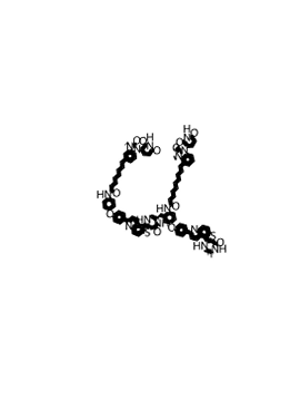 C[C@@H]1CNc2c(sc3ccc4nc(-c5ccc(OC6CCC(NC(=O)CCCCCCCCCc7cccc8c7n(C)c(=O)n8C7CCC(=O)NC7=O)C(C[C@@H]7CNc8c(sc9ccc%10nc(-c%11ccc(OC%12CCC(NC(=O)CCCCCCCc%13ccc%14c(c%13)n(C)c(=O)n%14C%13CCC(=O)NC%13=O)CC%12)cc%11)ccc%10c89)C(=O)N7)C6)cc5)ccc4c23)C(=O)N1